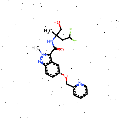 Cn1nc2ccc(OCc3ccccn3)cc2c1C(=O)NC(C)(CO)CC(F)F